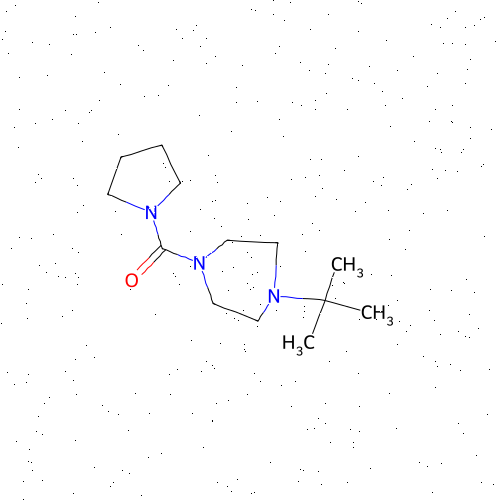 CC(C)(C)N1CCN(C(=O)N2CCCC2)CC1